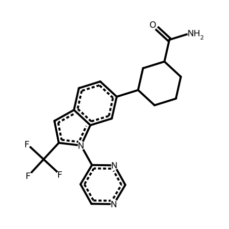 NC(=O)C1CCCC(c2ccc3cc(C(F)(F)F)n(-c4ccncn4)c3c2)C1